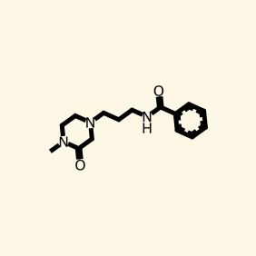 CN1CCN(CCCNC(=O)c2ccccc2)CC1=O